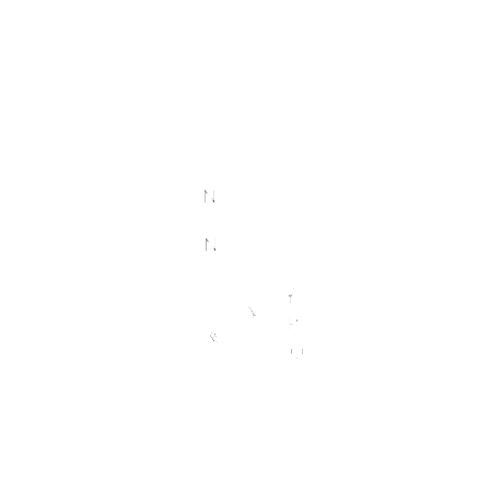 O=P(c1ccccc1)(c1ccccc1)c1ccc(C2(c3ccccc3)c3ccccc3-c3nc(-c4ccccc4)nc(-c4cccc5ccccc45)c32)cc1